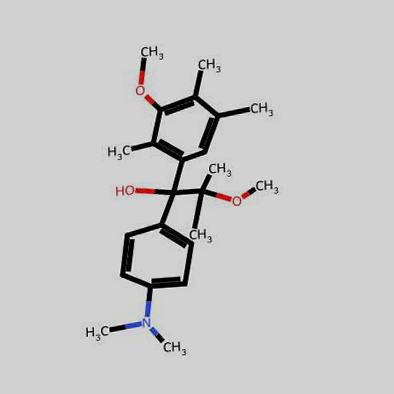 COc1c(C)c(C)cc(C(O)(c2ccc(N(C)C)cc2)C(C)(C)OC)c1C